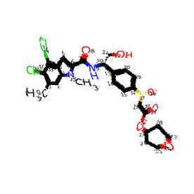 Cc1cc2c(cc(C(=O)N[C@H](CO)c3ccc([S@+]([O-])CC(=O)OC4CCOCC4)cc3)n2C)c(Cl)c1Cl